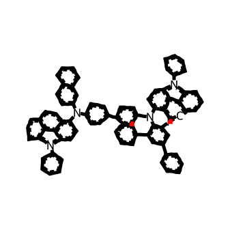 Fc1cc(-c2ccccc2)cc(-c2ccccc2)c1N(c1ccc(-c2ccc(N(c3ccc4ccccc4c3)c3ccc4c5c3ccc3cccc(c35)n4-c3ccccc3)cc2)cc1)c1ccc2c3c1ccc1cccc(c13)n2-c1ccccc1